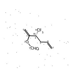 [CH]=C(OC=O)[C@@H](CC=C)C(F)(F)F